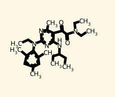 CCC(CC)Nc1nc(N(CC)c2c(C)cc(C)cc2C)nc(C)c1C(=O)C(=O)N(CC)CC